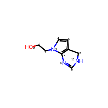 OCCn1ccc2c1N=CNC2